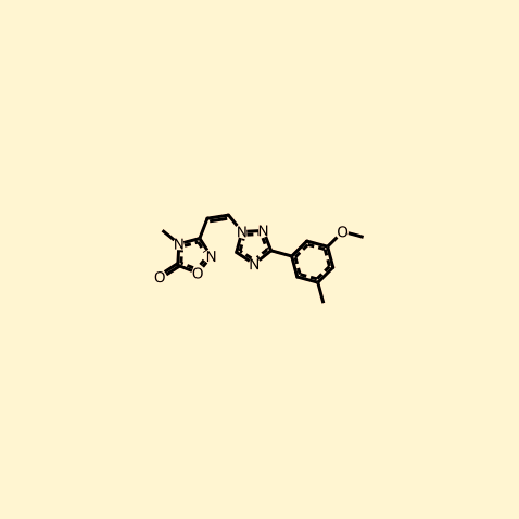 COc1cc(C)cc(-c2ncn(/C=C\c3noc(=O)n3C)n2)c1